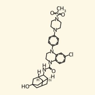 CS(=O)(=O)N1CCN(c2ccc(N3CCN(C(=O)NC4[C@@H]5CC6C[C@H]4CC(O)(C6)C5)c4ccc(Cl)cc43)cc2)CC1